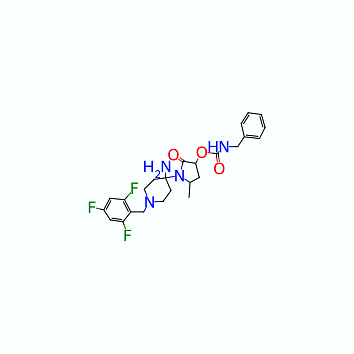 CC1CC(OC(=O)NCc2ccccc2)C(=O)N1C1(N)CCN(Cc2c(F)cc(F)cc2F)CC1